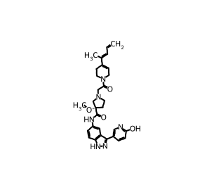 C=C/C=C(\C)C1=CCN(C(=O)CN2CC[C@@](OC)(C(=O)Nc3ccc4[nH]nc(-c5ccc(O)nc5)c4c3)C2)CC1